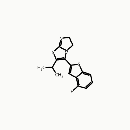 CC(C)C1=C(c2cc3c(F)cccc3s2)N2CCN=C2S1